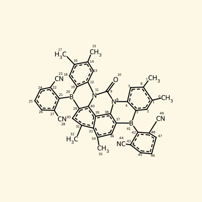 Cc1cc2c(cc1C)N1C(=O)N3c4cc(C)c(C)cc4B(c4c(C#N)cccc4C#N)c4cc(C)c5c(C)cc(c1c5c43)B2c1c(C#N)cccc1C#N